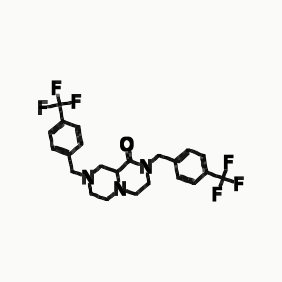 O=C1C2CN(Cc3ccc(C(F)(F)F)cc3)CCN2CCN1Cc1ccc(C(F)(F)F)cc1